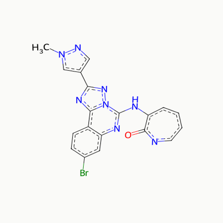 Cn1cc(-c2nc3c4ccc(Br)cc4nc(Nc4ccccnc4=O)n3n2)cn1